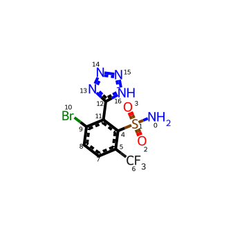 NS(=O)(=O)c1c(C(F)(F)F)ccc(Br)c1-c1nnn[nH]1